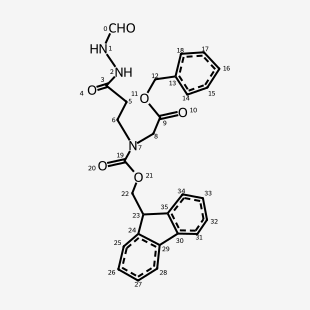 O=CNNC(=O)CCN(CC(=O)OCc1ccccc1)C(=O)OCC1c2ccccc2-c2ccccc21